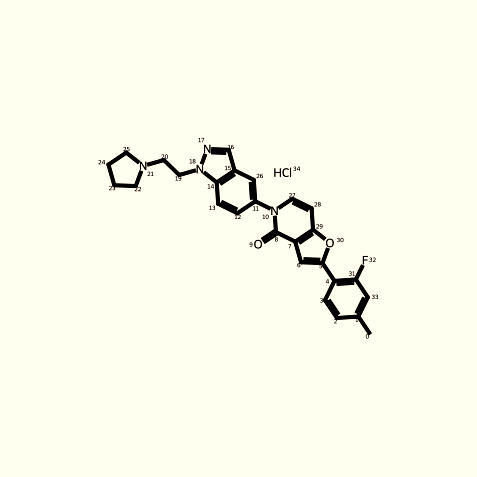 Cc1ccc(-c2cc3c(=O)n(-c4ccc5c(cnn5CCN5CCCC5)c4)ccc3o2)c(F)c1.Cl